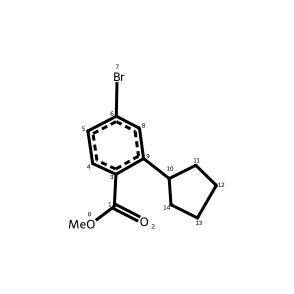 COC(=O)c1ccc(Br)cc1C1CCCC1